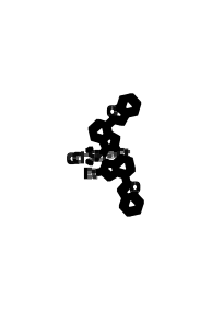 CCC1=Cc2c(-c3cc4ccccc4o3)cccc2[CH]1[Zr+2]([CH]1C(CC)=Cc2c(-c3cc4ccccc4o3)cccc21)=[Si](C)C.[Cl-].[Cl-]